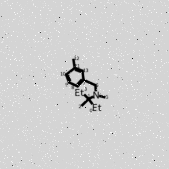 CCC(C)(CC)N(C)Cc1cccc(C)c1